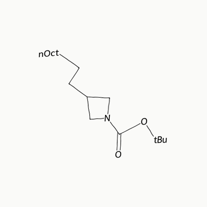 CCCCCCCCCCC1CN(C(=O)OC(C)(C)C)C1